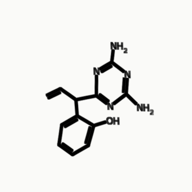 C=CC(c1nc(N)nc(N)n1)c1ccccc1O